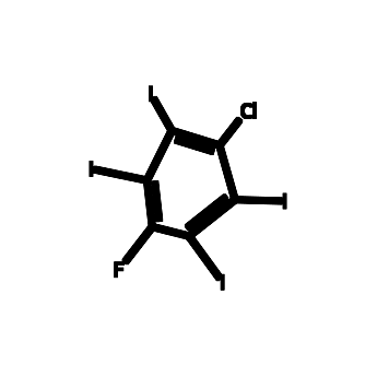 Fc1c(I)c(I)c(Cl)c(I)c1I